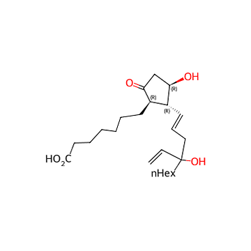 C=CC(O)(CC=C[C@H]1[C@H](O)CC(=O)[C@@H]1CCCCCCC(=O)O)CCCCCC